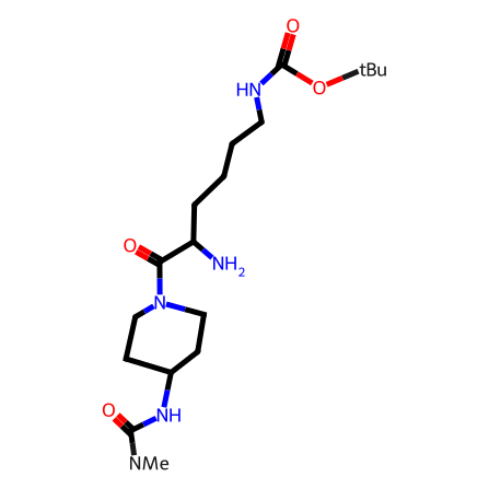 CNC(=O)NC1CCN(C(=O)C(N)CCCCNC(=O)OC(C)(C)C)CC1